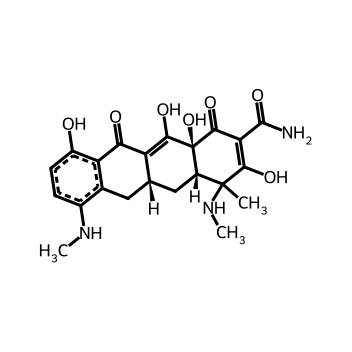 CNc1ccc(O)c2c1C[C@H]1C[C@H]3C(C)(NC)C(O)=C(C(N)=O)C(=O)[C@@]3(O)C(O)=C1C2=O